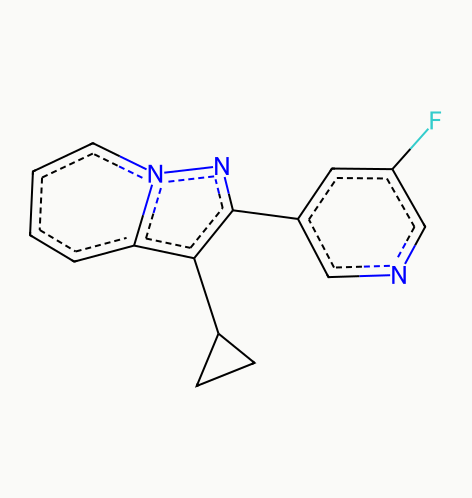 Fc1cncc(-c2nn3ccccc3c2C2CC2)c1